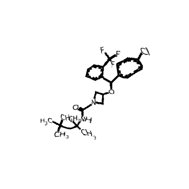 CC(C)(C)CC(C)(C)NC(=O)N1CC(OC(c2ccc(Cl)cc2)c2ccccc2C(F)(F)F)C1